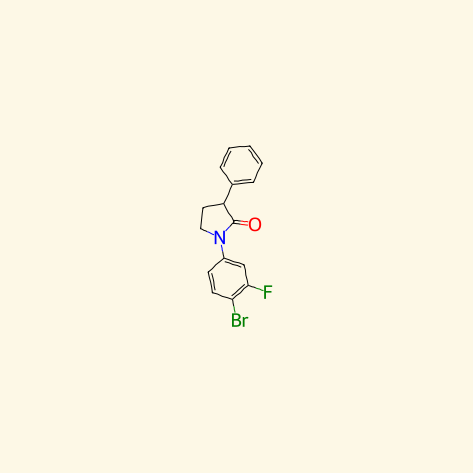 O=C1C(c2ccccc2)CCN1c1ccc(Br)c(F)c1